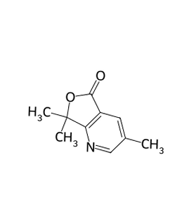 Cc1cnc2c(c1)C(=O)OC2(C)C